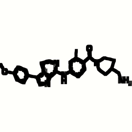 COc1ccc(-c2cnc3c(Nc4ccc(C(=O)N5CCC(CN)CC5)c(C)c4)nccn23)cc1